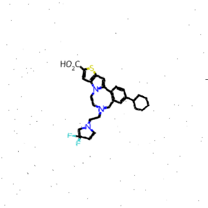 O=C(O)c1cc2c(cc3n2CCN(CCN2CCC(F)(F)C2)Cc2cc(C4CCCCC4)ccc2-3)s1